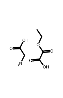 CCOC(=O)C(=O)O.NCC(=O)O